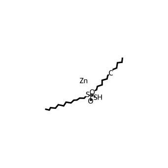 CCCCCCCCCCCCOP(=O)(S)SCCCCCCCCCCCC.[Zn]